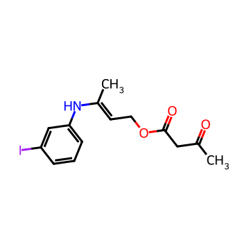 CC(=O)CC(=O)OCC=C(C)Nc1cccc(I)c1